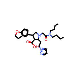 CCCCN(CCCC)C(=O)CN1CC(c2ccc3c(c2)CCO3)C(C(=O)O)C1CCn1cccn1